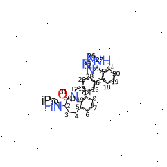 CC(C)NC1CCc2ccccc2N(Cc2ccc(-c3ccccc3-c3nnn[nH]3)cc2)C1=O